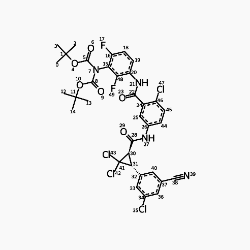 CC(C)(C)OC(=O)N(C(=O)OC(C)(C)C)c1c(F)ccc(NC(=O)c2cc(NC(=O)[C@H]3[C@H](c4cc(Cl)cc(C#N)c4)C3(Cl)Cl)ccc2Cl)c1F